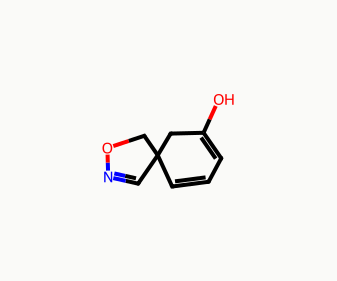 OC1=CC=CC2(C=NOC2)C1